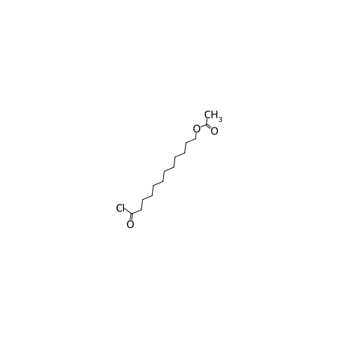 CC(=O)OCCCCCCCCCCCC(=O)Cl